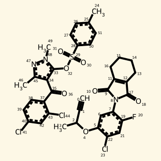 C#CC(C)Oc1cc(N2C(=O)C3=C(CCCC3)C2=O)c(F)cc1Cl.Cc1ccc(S(=O)(=O)Oc2c(C(=O)c3ccc(Cl)cc3Cl)c(C)nn2C)cc1